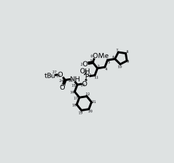 COC(=O)C(CCC1CCCC1)C[PH](=O)OC(CC1CCCCC1)NC(=O)OC(C)(C)C